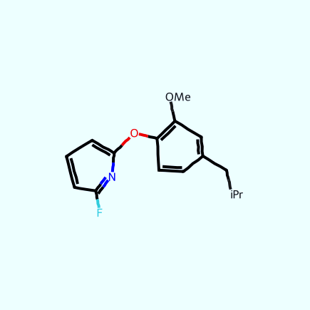 COc1cc(CC(C)C)ccc1Oc1cccc(F)n1